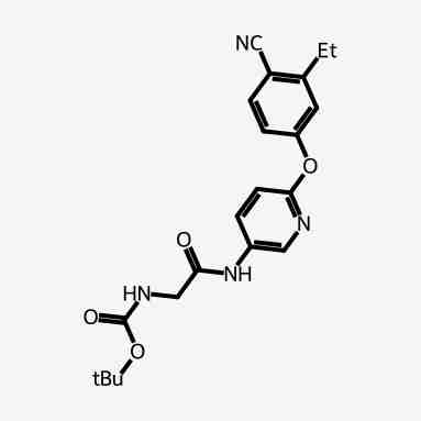 CCc1cc(Oc2ccc(NC(=O)CNC(=O)OC(C)(C)C)cn2)ccc1C#N